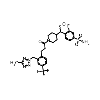 Cc1nnn(Cc2cc(C(F)(F)F)ccc2CCC(=O)N2CCC(C([S+]=O)c3ccc(S(N)(=O)=O)cc3F)CC2)n1